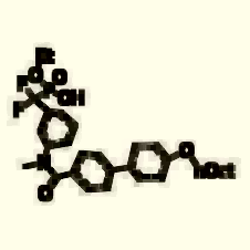 CCCCCCCCOc1ccc(-c2ccc(C(=O)N(C)c3cccc(C(F)(F)P(=O)(O)OCC)c3)cc2)cc1